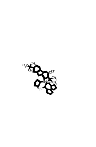 CC([C](C(C)C1CCCC1)=[Zr+2]([C]1=CC=CC1)[c]1c(C(C)(C)C)ccc2c1Cc1cc(C(C)(C)C)ccc1-2)C1CCCC1.[Cl-].[Cl-]